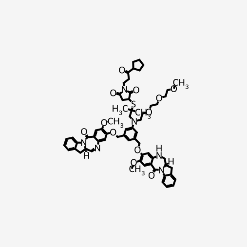 COCCOCCOCCN(CC(C)(C)SC1CC(=O)N(CCC(=O)C2CCCC2)C1=O)c1cc(COc2cc3c(cc2OC)C(=O)N2c4ccccc4C[C@H]2C=N3)cc(COc2cc3c(cc2OC)C(=O)N2c4ccccc4C[C@H]2CN3)c1